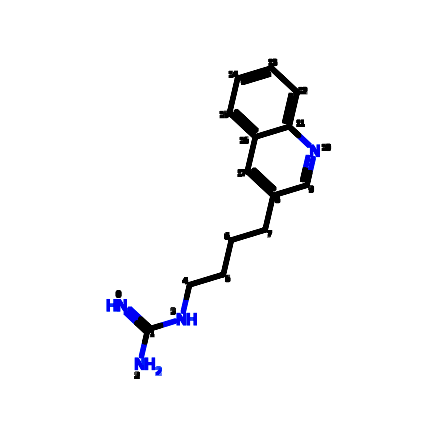 N=C(N)NCCCCc1cnc2ccccc2c1